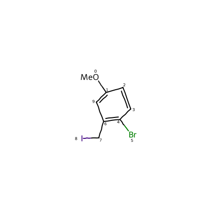 COc1ccc(Br)c(CI)c1